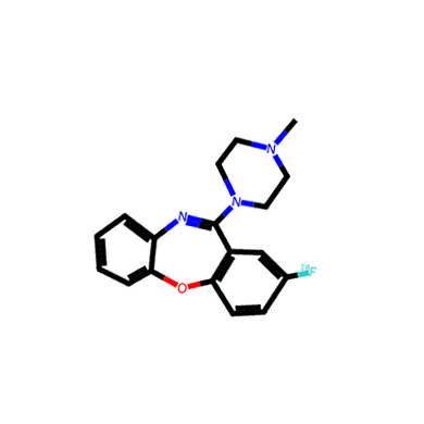 CN1CCN(C2=Nc3ccccc3Oc3ccc([18F])cc32)CC1